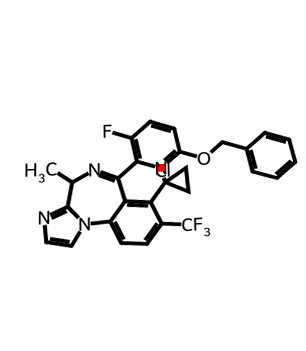 CC1N=C(c2nc(OCc3ccccc3)ccc2F)c2c(ccc(C(F)(F)F)c2C2(Cl)CC2)-n2ccnc21